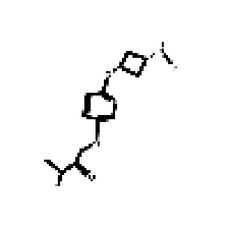 CC(C)C(=O)COc1ccc(O[C@H]2C[C@@H](NS)C2)nc1